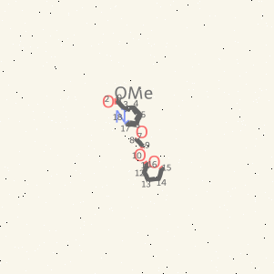 COC(=O)c1ccc(OCCOC2CCCCO2)cn1